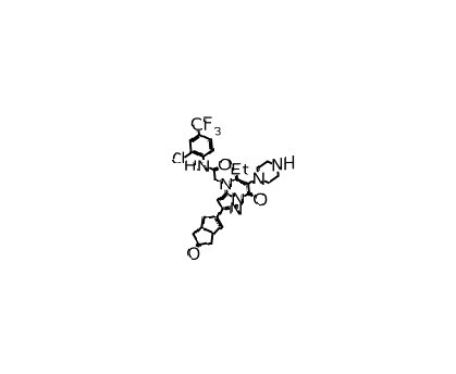 CCc1c(N2CCNCC2)c(=O)n2nc(C3=CC4CC(=O)CC4C3)cc2n1CC(=O)Nc1ccc(C(F)(F)F)cc1Cl